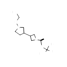 CCON1CCC(C2CN(C(=O)OC(C)(C)C)C2)C1